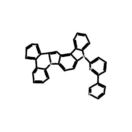 c1cncc(-c2cccc(-n3c4ccccc4c4c5cc6c7ccccc7c7ccccc7n6c5ccc43)n2)c1